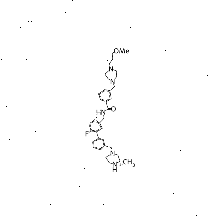 COCCCN1CCN(Cc2cccc(C(=O)NCc3ccc(F)c(-c4cccc(CN5CCN[C@@H](C)C5)c4)c3)c2)CC1